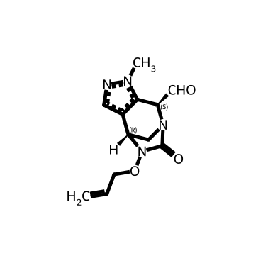 C=CCON1C(=O)N2C[C@H]1c1cnn(C)c1[C@H]2C=O